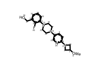 COC1CN(c2ccc(N3CCN(c4cccc(CO)c4F)CC3)cn2)C1